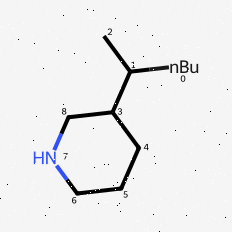 CCCCC(C)C1CCCNC1